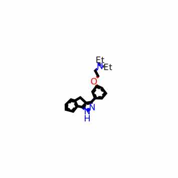 CCN(CC)CCOc1cccc(-c2n[nH]c3c2Cc2ccccc2-3)c1